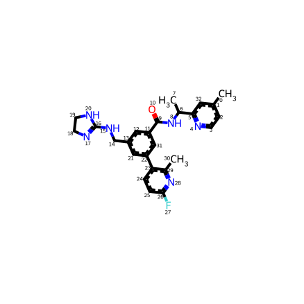 Cc1ccnc(C(C)NC(=O)c2cc(CNC3=NCCN3)cc(-c3ccc(F)nc3C)c2)c1